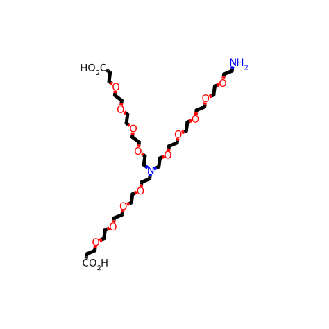 NCCOCCOCCOCCOCCOCCN(CCOCCOCCOCCOCCC(=O)O)CCOCCOCCOCCOCCC(=O)O